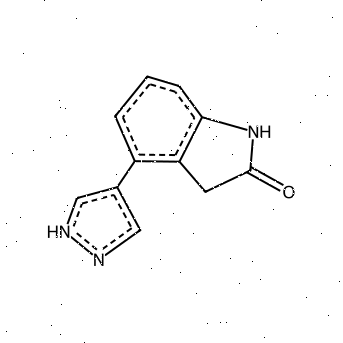 O=C1Cc2c(cccc2-c2cn[nH]c2)N1